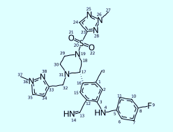 Cc1cc(Nc2ccc(F)cc2)c(C=N)cc1[C@H]1CN(S(=O)(=O)c2cnn(C)n2)CCN1Cc1ccn(C)n1